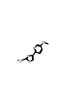 COc1ccc(-c2csc(N)n2)nc1